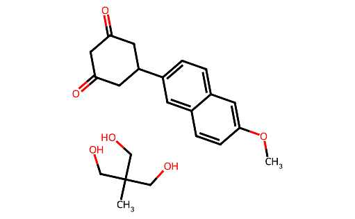 CC(CO)(CO)CO.COc1ccc2cc(C3CC(=O)CC(=O)C3)ccc2c1